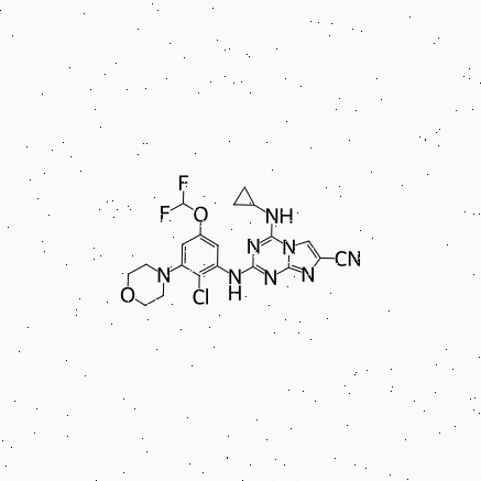 N#Cc1cn2c(NC3CC3)nc(Nc3cc(OC(F)F)cc(N4CCOCC4)c3Cl)nc2n1